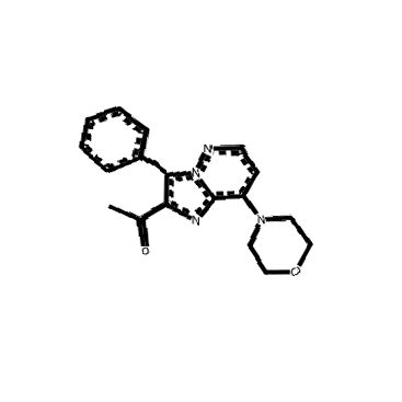 CC(=O)c1nc2c(N3CCOCC3)ccnn2c1-c1ccccc1